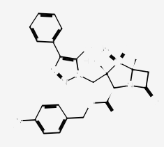 CCOC(=O)c1c(-c2ccccc2)nnn1C[C@@]1(C)[C@H](C(=O)OCc2ccc([N+](=O)[O-])cc2)N2C(=O)C[C@H]2S1(=O)=O